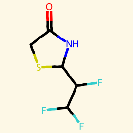 O=C1CSC(C(F)C(F)F)N1